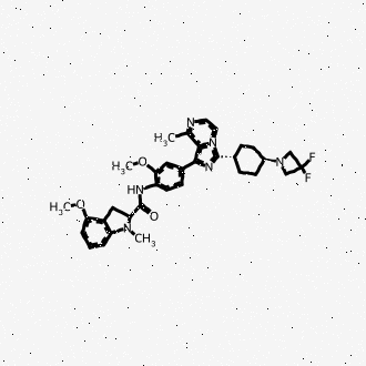 COc1cc(-c2nc([C@H]3CC[C@H](N4CC(F)(F)C4)CC3)n3ccnc(C)c23)ccc1NC(=O)C1Cc2c(OC)cccc2N1C